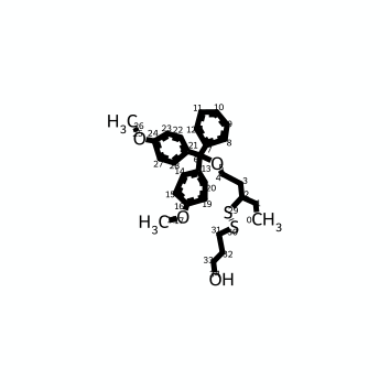 CCC(CCOC(c1ccccc1)(c1ccc(OC)cc1)c1ccc(OC)cc1)SSCCCO